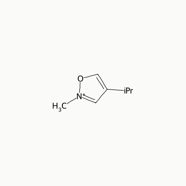 CC(C)c1co[n+](C)c1